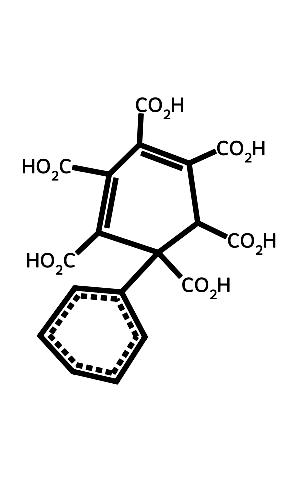 O=C(O)C1=C(C(=O)O)C(C(=O)O)C(C(=O)O)(c2ccccc2)C(C(=O)O)=C1C(=O)O